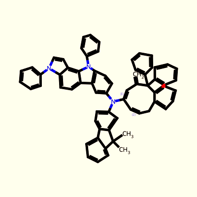 C=C1/C=C(N(c2ccc3c(c2)C(C)(C)c2ccccc2-3)c2ccc3c(c2)c2ccc4c(ccn4-c4ccccc4)c2n3-c2ccccc2)\C=C/Cc2ccccc2C1(c1ccccc1)c1ccccc1